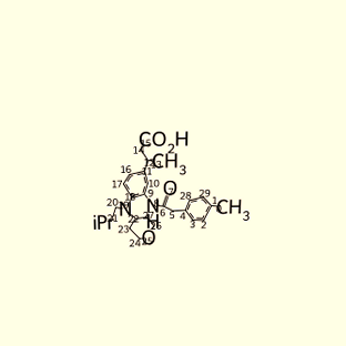 Cc1ccc(CC(=O)Nc2cc(C(C)CC(=O)O)ccc2N(CC(C)C)C2CCOCC2)cc1